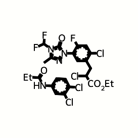 CCC(=O)Nc1ccc(Cl)c(Cl)c1.CCOC(=O)C(Cl)Cc1cc(-n2nc(C)n(C(F)F)c2=O)c(F)cc1Cl